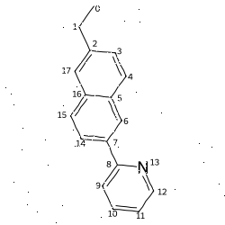 CCc1ccc2cc(-c3ccccn3)ccc2c1